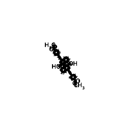 COC(=O)c1ccc(C#Cc2cc(PO)c(-c3c(PO)cc(C#Cc4ccc(C(=O)OC)cc4)c4ccccc34)c3ccccc23)cc1